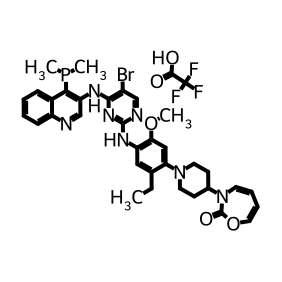 CCc1cc(Nc2ncc(Br)c(Nc3cnc4ccccc4c3P(C)C)n2)c(OC)cc1N1CCC(N2C=CC=COC2=O)CC1.O=C(O)C(F)(F)F